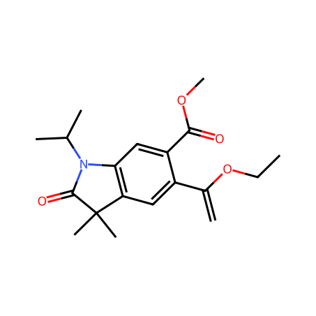 C=C(OCC)c1cc2c(cc1C(=O)OC)N(C(C)C)C(=O)C2(C)C